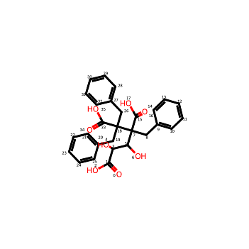 O=C(O)C(O)C(O)C(Cc1ccccc1)(C(=O)O)C(Cc1ccccc1)(Cc1ccccc1)C(=O)O